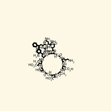 CCCCC(=O)NC(Cc1c[nH]c2ccccc12)C(=O)NC(CC(N)=O)C(=O)NC(CC(=O)OO)C(=O)NC1C(=O)NCC(=O)NC(CCCN)C(=O)NC(CC(=O)O)C(=O)NC(C)C(=O)NC(CC(=O)O)C(=O)NCC(=O)NC(CO)C(=O)NC(C(C)CC(=O)O)C(=O)NC(CC(=O)c2ccccc2N)C(=O)OC1C